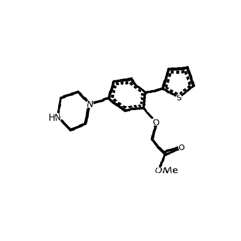 COC(=O)COc1cc(N2CCNCC2)ccc1-c1cccs1